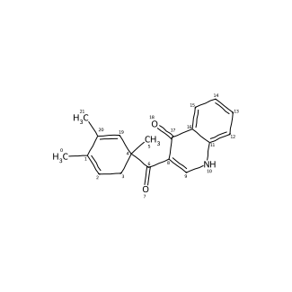 CC1=CCC(C)(C(=O)c2c[nH]c3ccccc3c2=O)C=C1C